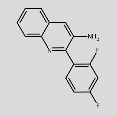 Nc1cc2ccccc2nc1-c1ccc(F)cc1F